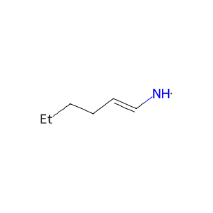 CCCCC=C[NH]